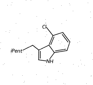 CCCC(C)Cc1c[nH]c2cccc(Cl)c12